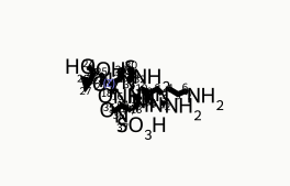 N=C(N)N(CCCN)Cc1cnn(C[C@@H]2[C@H](NC(=O)/C(=N\OC3(C(O)O)CC3)c3csc(N)n3)C(=O)N2S(=O)(=O)O)n1